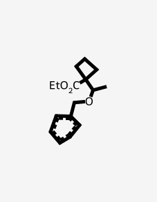 CCOC(=O)C1(C(C)OCc2ccccc2)CCC1